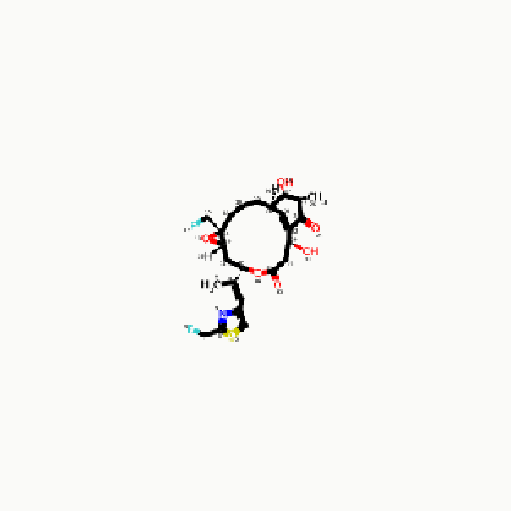 C/C(=C\c1csc(CF)n1)[C@@H]1C[C@@H]2O[C@]2(CF)CCC[C@@H]2C=C(C(=O)[C@H](C)[C@H]2O)[C@@H](O)CC(=O)O1